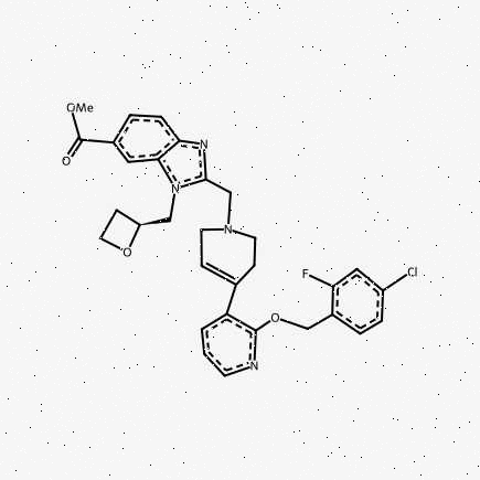 COC(=O)c1ccc2nc(CN3CC=C(c4cccnc4OCc4ccc(Cl)cc4F)CC3)n(C[C@@H]3CCO3)c2c1